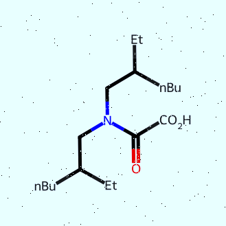 CCCCC(CC)CN(CC(CC)CCCC)C(=O)C(=O)O